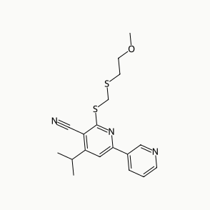 COCCSCSc1nc(-c2cccnc2)cc(C(C)C)c1C#N